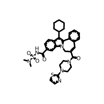 CN(C)S(=O)(=O)NC(=O)c1ccc2c(C3CCCCC3)c3n(c2c1)CC(C(=O)N1CCN(c2nccs2)CC1)=Cc1ccccc1-3